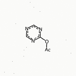 CC(=O)Oc1ncncn1